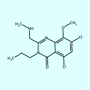 CCCn1c(CNC)nc2c(OC)c(Cl)cc(Cl)c2c1=O